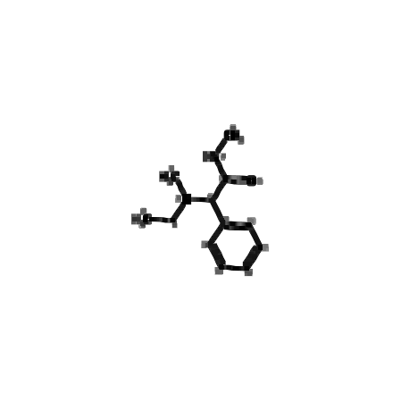 CCN(C)C(C(=O)NC)c1ccccc1